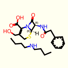 CCCCNCCCC.O=C(Cc1ccccc1)N[C@@H]1C(=O)N2C(C(=O)O)=C(CO)CS[C@H]12